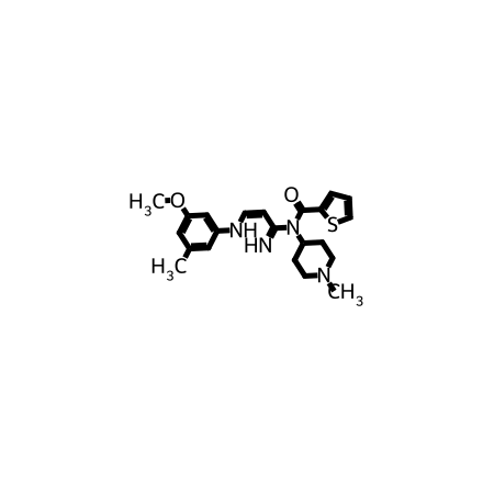 COc1cc(C)cc(N/C=C\C(=N)N(C(=O)c2cccs2)C2CCN(C)CC2)c1